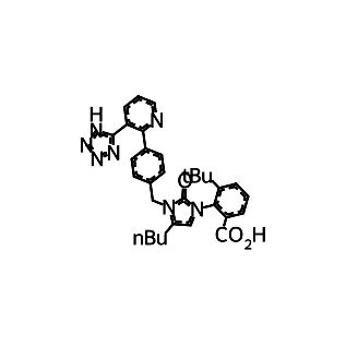 CCCCc1cn(-c2c(C(=O)O)cccc2C(C)(C)C)c(=O)n1Cc1ccc(-c2ncccc2-c2nnn[nH]2)cc1